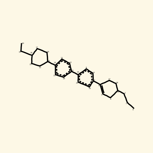 CCCC1CC=C(c2ccc(-c3ccc(C4CCC(CC)CC4)cc3)cc2)CC1